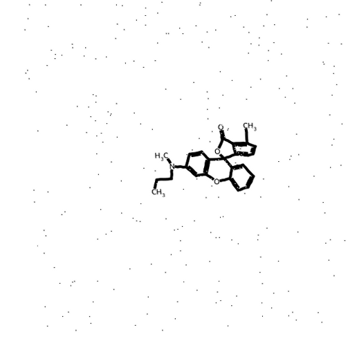 CCCN(C)c1ccc2c(c1)Oc1ccccc1C21OC(=O)c2c(C)cccc21